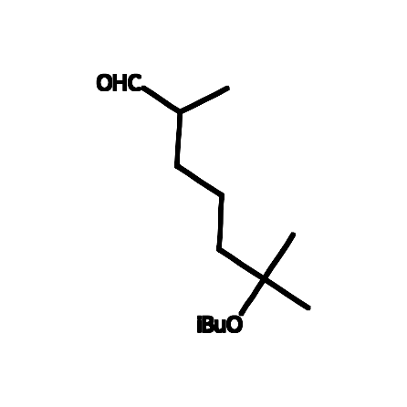 CC(C)COC(C)(C)CCCC(C)C=O